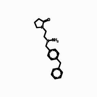 NN(CCN1CCCC1=O)Cc1ccc(Cc2ccccc2)cc1